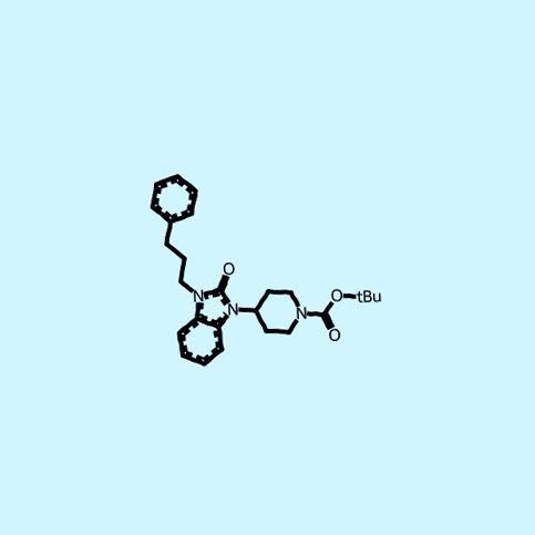 CC(C)(C)OC(=O)N1CCC(n2c(=O)n(CCCc3ccccc3)c3ccccc32)CC1